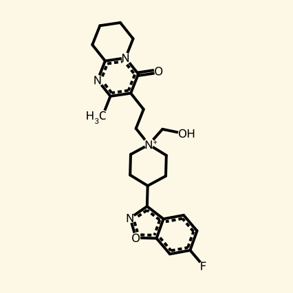 Cc1nc2n(c(=O)c1CC[N+]1(CO)CCC(c3noc4cc(F)ccc34)CC1)CCCC2